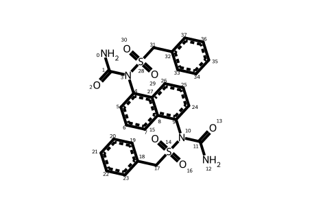 NC(=O)N(c1cccc2c(N(C(N)=O)S(=O)(=O)Cc3ccccc3)cccc12)S(=O)(=O)Cc1ccccc1